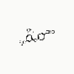 O=Cc1ccc(Oc2cc(C(F)(F)F)cc(C(F)(F)F)c2)cc1